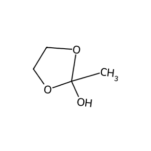 CC1(O)OCCO1